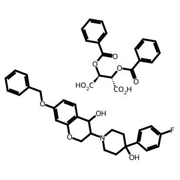 O=C(O[C@H](C(=O)O)[C@H](OC(=O)c1ccccc1)C(=O)O)c1ccccc1.OC1c2ccc(OCc3ccccc3)cc2OCC1N1CCC(O)(c2ccc(F)cc2)CC1